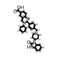 O=C(O)c1ccc2c(c1)=CN(c1ccccc1)C(c1ccc(CN3CCC(n4c(=O)[nH]c5ccccc54)CC3)cc1)N=2